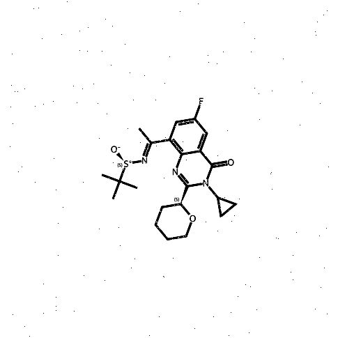 CC(=N[S@+]([O-])C(C)(C)C)c1cc(F)cc2c(=O)n(C3CC3)c([C@@H]3CCCCO3)nc12